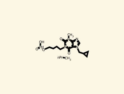 CCCC.Cn1c(=O)n(CCCCO[PH](=O)O)c(=O)c2c1ncn2CC1CC1